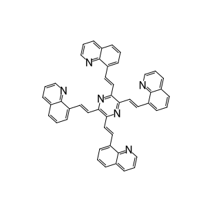 C(=Cc1cccc2cccnc12)c1nc(C=Cc2cccc3cccnc23)c(C=Cc2cccc3cccnc23)nc1C=Cc1cccc2cccnc12